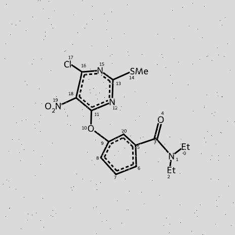 CCN(CC)C(=O)c1cccc(Oc2nc(SC)nc(Cl)c2[N+](=O)[O-])c1